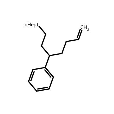 C=CCCC(CCCCCCCCC)c1ccccc1